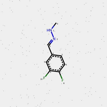 CN/N=C/c1ccc(F)c(F)c1